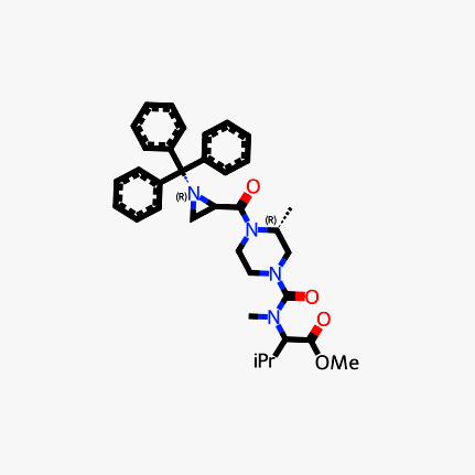 COC(=O)C(C(C)C)N(C)C(=O)N1CCN(C(=O)C2C[N@]2C(c2ccccc2)(c2ccccc2)c2ccccc2)[C@H](C)C1